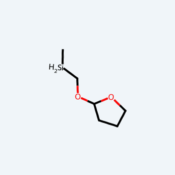 C[SiH2]COC1CCCO1